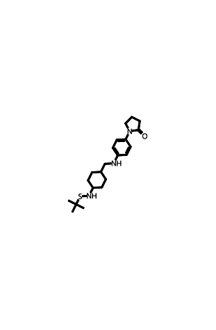 CC(C)(C)SNC1CCC(CNc2ccc(N3CCCC3=O)cc2)CC1